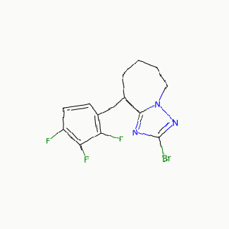 Fc1ccc(C2CCCCn3nc(Br)nc32)c(F)c1F